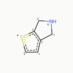 [c]1cc2c(s1)CNC2